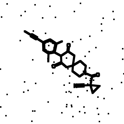 CC#Cc1cc(C)c(C2C(=O)CC3(CCN(C(=O)C4(C#N)CC4)CC3)CC2=O)c(C)c1